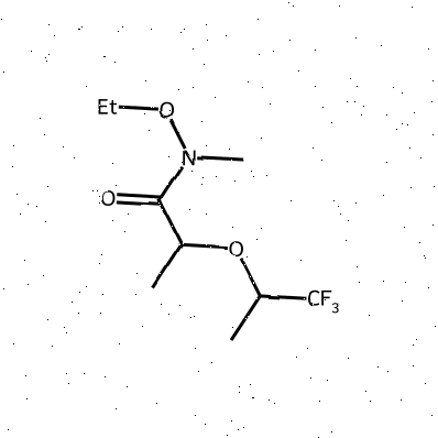 CCON(C)C(=O)C(C)OC(C)C(F)(F)F